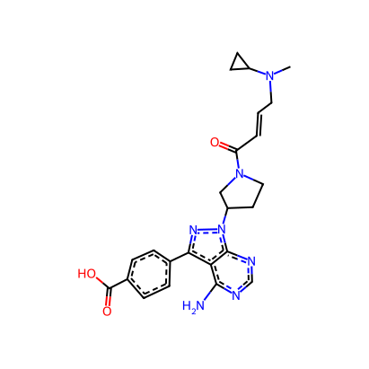 CN(CC=CC(=O)N1CCC(n2nc(-c3ccc(C(=O)O)cc3)c3c(N)ncnc32)C1)C1CC1